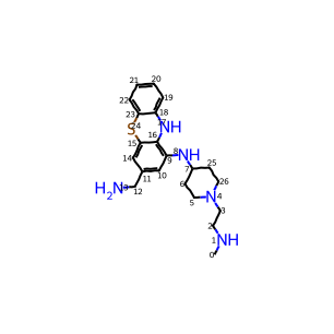 CNCCN1CCC(Nc2cc(CN)cc3c2Nc2ccccc2S3)CC1